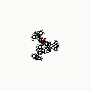 CSN1c2cc3c(cc2B2c4cc5c(cc4Oc4cc(C6c7ccccc7[Si](C)(C)c7ccccc76)cc1c42)Oc1cc(N2c4ccccc4[Si](C)(C)c4ccccc42)cc2c1B5c1ccccc1O2)B1c2ccccc2Oc2cc(N4c5ccccc5[Si](C)(C)c5ccccc54)cc(c21)N3